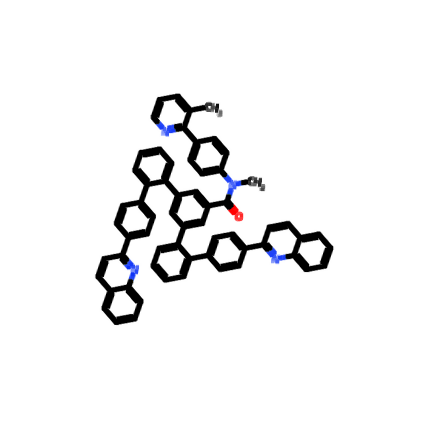 Cc1cccnc1-c1ccc(N(C)C(=O)c2cc(-c3ccccc3-c3ccc(-c4ccc5ccccc5n4)cc3)cc(-c3ccccc3-c3ccc(-c4ccc5ccccc5n4)cc3)c2)cc1